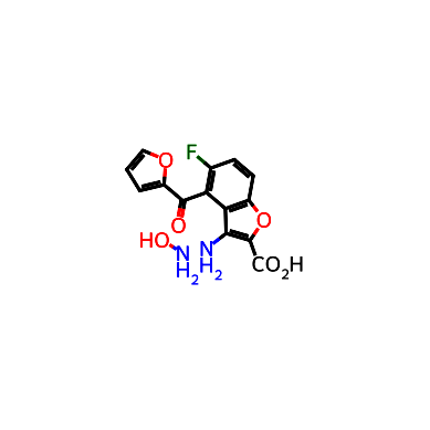 NO.Nc1c(C(=O)O)oc2ccc(F)c(C(=O)c3ccco3)c12